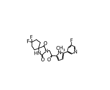 Cn1c(C(=O)CN2C(=O)NC3(CCC(F)(F)CC3)C2=O)ccc1-c1cncc(F)c1